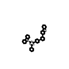 c1ccc(-c2nc(-c3ccc(-c4cccc(-c5ccc6c(c5)sc5ccccc56)c4)cc3)nc(-n3c4ccccc4c4ccccc43)n2)cc1